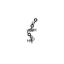 CCNC(=O)COc1ccc(C[C@@H](C)NC[C@H](O)c2ccc(OCc3ccccc3)cc2)cc1